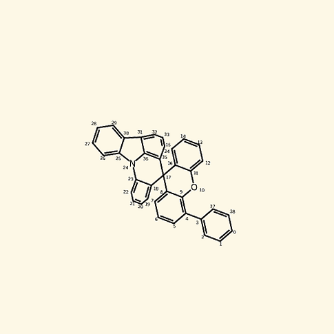 c1ccc(-c2cccc3c2Oc2ccccc2C32c3ccccc3-n3c4ccccc4c4cccc2c43)cc1